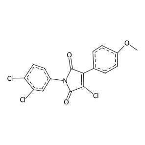 COc1ccc(C2=C(Cl)C(=O)N(c3ccc(Cl)c(Cl)c3)C2=O)cc1